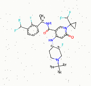 [2H]C([2H])([2H])N1CC[C@H](Nc2cc(=O)n(C3(C(F)F)CC3)cc2C(=O)N[C@H](C)c2cccc(C(F)F)c2F)[C@H](F)C1